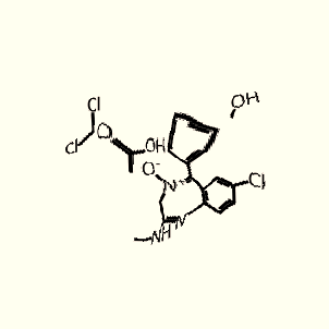 CC(=O)O.CNC1=Nc2ccc(Cl)cc2C(c2ccccc2)=[N+]([O-])C1.CO.ClCCl